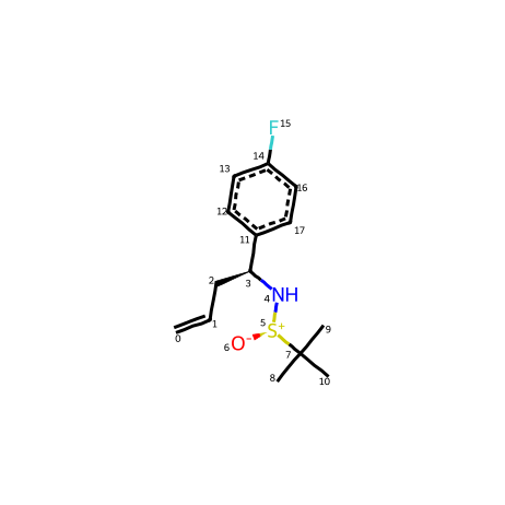 C=CC[C@H](N[S@+]([O-])C(C)(C)C)c1ccc(F)cc1